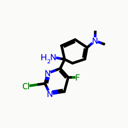 CN(C)C1=CCC(N)(c2nc(Cl)ncc2F)C=C1